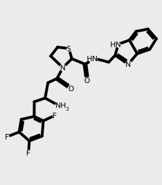 NC(CC(=O)N1CCSC1C(=O)NCc1nc2ccccc2[nH]1)Cc1cc(F)c(F)cc1F